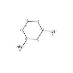 CCCC1CCCC(CC)C1